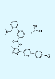 Cc1noc(-c2ccc(-c3ccc(C4CC4)cc3)cc2)c1NC(=O)c1cccc(-c2ccccc2CN(C)C)c1.O=C(O)O